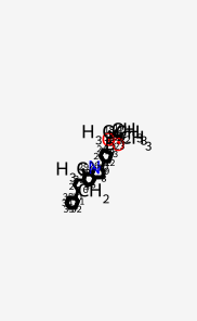 C=C(/C=C\c1ccc2ccc(-c3ccc(B4OC(C)(C)C(C)(C)O4)cc3)nc2c1C)c1ccccc1